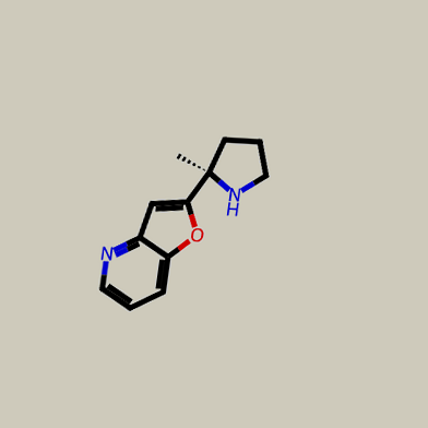 C[C@]1(c2cc3ncccc3o2)CCCN1